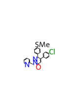 CSc1ccc(-c2nn(Cc3ccccn3)c(=O)cc2-c2ccc(Cl)cc2)cc1